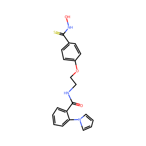 O=C(NCCOc1ccc(C(=S)NO)cc1)c1ccccc1-n1cccc1